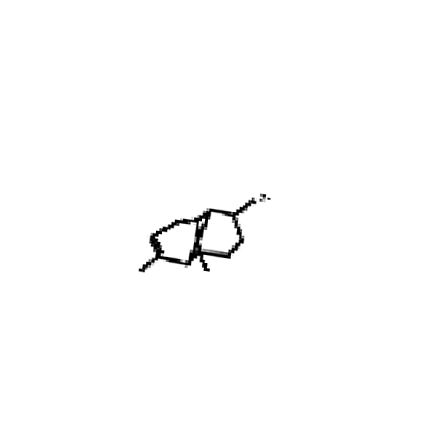 CC1=CCC2C3C(C(C)C)CCC2(C)C13